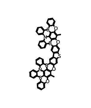 Cc1c2c3c4c5c1Oc1cc6sc7cc8c(cc7c6cc1B5c1ccccc1N4c1ccccc1B3c1ccccc1O2)B1c2ccccc2N2c3ccccc3B3c4ccccc4Oc4c(C)c(c1c2c43)O8